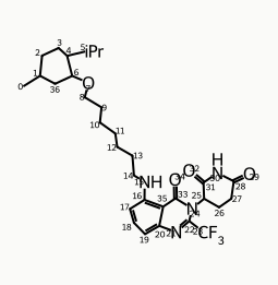 CC1CCC(C(C)C)C(OCCCCCCCNc2cccc3nc(C(F)(F)F)n(C4CCC(=O)NC4=O)c(=O)c23)C1